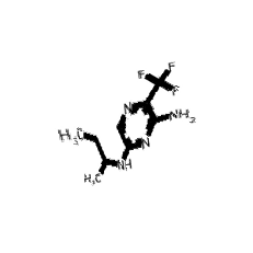 CCC(C)Nc1cnc(C(F)(F)F)c(N)n1